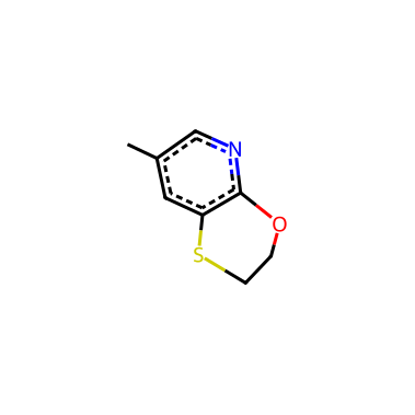 Cc1cnc2c(c1)SCCO2